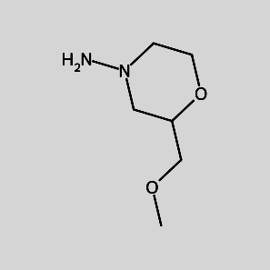 COCC1CN(N)CCO1